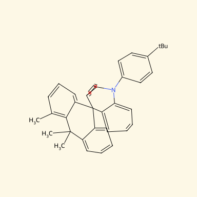 Cc1cccc2c1C(C)(C)c1ccccc1C21c2ccccc2N(c2ccc(C(C)(C)C)cc2)c2ccccc21